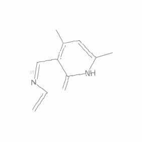 C=C/N=C\C1=C(C)C=C(C)NC1=C